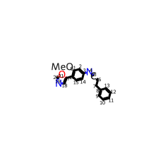 COc1cc(N=C=CCc2ccccc2)ccc1-c1cnco1